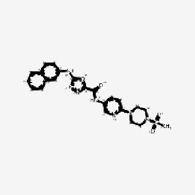 CS(=O)(=O)N1CCN(c2ccc(NC(=O)c3nnc(Nc4ccc5ccccc5c4)o3)cn2)CC1